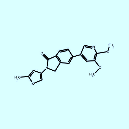 COc1cc(-c2ccc3c(c2)CN(c2csc(C)c2)C3=O)cnc1OC